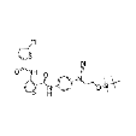 CC(C)(C)[Si](C)(C)OCCN(C#N)c1ccc(NC(=O)c2sccc2NC(=O)c2ccc(Cl)s2)cc1